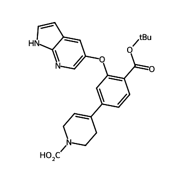 CC(C)(C)OC(=O)c1ccc(C2=CCN(C(=O)O)CC2)cc1Oc1cnc2[nH]ccc2c1